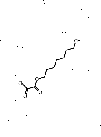 CCCCCCCCOC(=O)C(=O)Cl